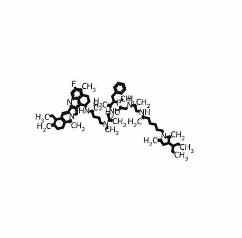 C=C(CCCCCN1C(=C)CC(C(CC)CC)C1=C)NCC(=C)NCC(=C)P(C)C(Cc1ccccc1)C(=C)NCC(=C)N(C)CCCC(=C)NC1CCc2c(C)c(F)cc3nc4c(c1c23)CN1C(=C)C2=C(C=C41)C(CC)C(=C)CC2